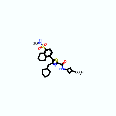 CC(C)(C)NS(=O)(=O)c1ccc(-c2sc(C(=O)NC3CC(C(=O)O)C3)nc2CC2CCCCC2)c2c1CCCC2